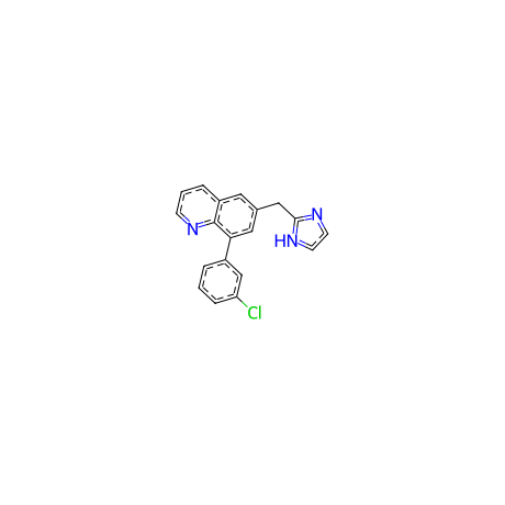 Clc1cccc(-c2cc(Cc3ncc[nH]3)cc3cccnc23)c1